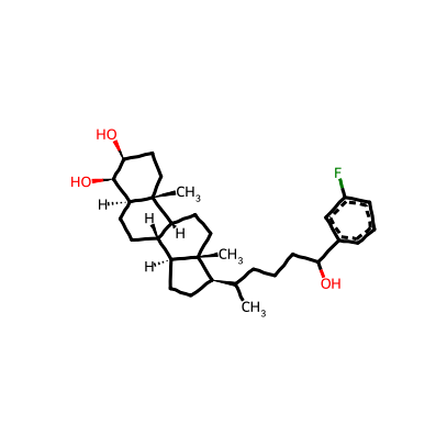 CC(CCCC(O)c1cccc(F)c1)[C@H]1CC[C@H]2[C@@H]3CC[C@H]4[C@@H](O)[C@@H](O)CC[C@]4(C)[C@H]3CC[C@]12C